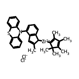 CC1=Cc2c(cccc2N2c3ccccc3Sc3ccccc32)[CH]1[Zr+2][C]1=C(C)C(C)=C(C)C1(C)C.[Cl-].[Cl-]